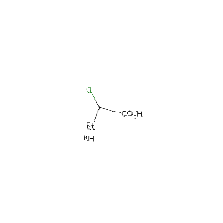 CCC(Cl)C(=O)O.[KH]